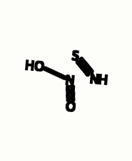 N=S.O=NO